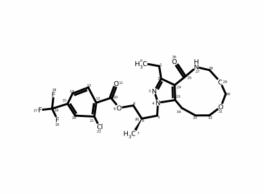 CCc1nn(C[C@@H](C)COC(=O)c2ccc(C(F)(F)F)cc2Cl)c2c1C(=O)NCCCOCCC2